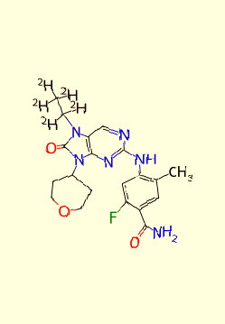 [2H]C([2H])([2H])C([2H])([2H])n1c(=O)n(C2CCOCC2)c2nc(Nc3cc(F)c(C(N)=O)cc3C)ncc21